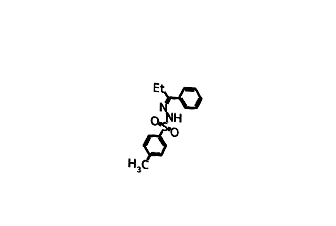 CCC(=NNS(=O)(=O)c1ccc(C)cc1)c1ccccc1